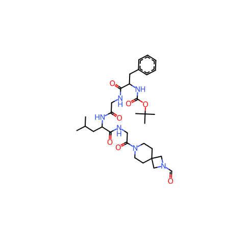 CC(C)CC(NC(=O)CNC(=O)C(Cc1ccccc1)NC(=O)OC(C)(C)C)C(=O)NCC(=O)N1CCC2(CC1)CN(C=O)C2